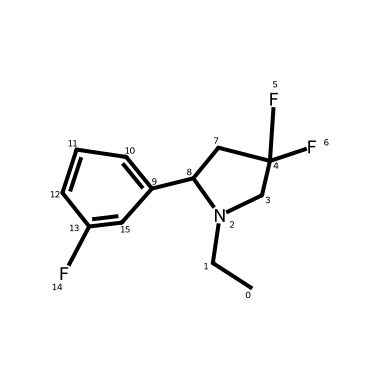 CCN1CC(F)(F)CC1c1cccc(F)c1